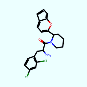 NC(Cc1ccc(Cl)cc1Cl)C(=O)N1CCCCC1c1ccc2cccc-2o1